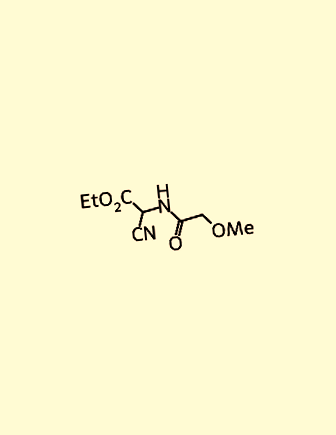 CCOC(=O)C(C#N)NC(=O)COC